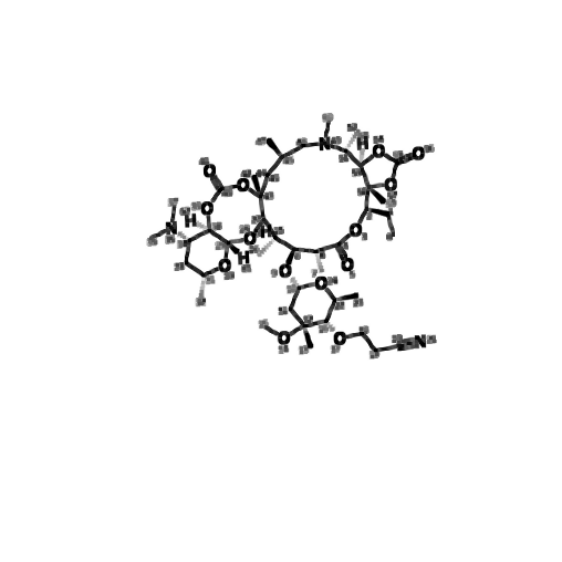 CC[C@H]1OC(=O)[C@H](C)[C@@H](O[C@H]2C[C@@](C)(OC)[C@@H](OCCC#N)[C@H](C)O2)[C@H](C)[C@H]2O[C@@H]3O[C@H](C)C[C@H](N(C)C)[C@H]3OC(=O)O[C@]2(C)C[C@@H](C)CN(C)[C@H](C)[C@H]2OC(=O)O[C@@]21C